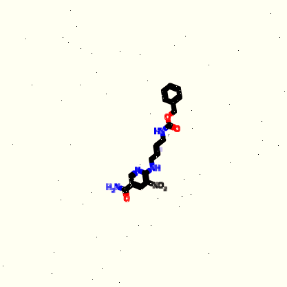 NC(=O)c1cnc(NC/C=C/CNC(=O)OCc2ccccc2)c([N+](=O)[O-])c1